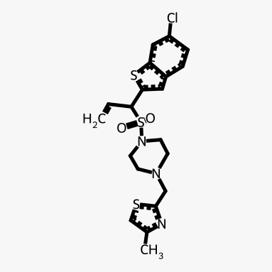 C=CC(c1cc2ccc(Cl)cc2s1)S(=O)(=O)N1CCN(Cc2nc(C)cs2)CC1